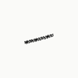 S=S=S=S=S=S=S=S=S=S=S=S=S=S=S=S=S=S=S=S=S=S=S=S=S